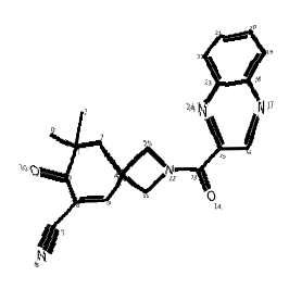 CC1(C)CC2(C=C(C#N)C1=O)CN(C(=O)c1cnc3ccccc3n1)C2